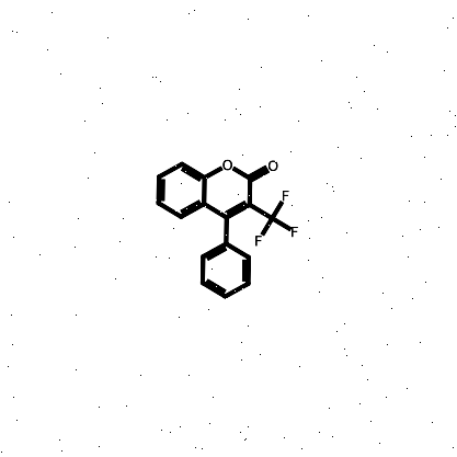 O=c1oc2ccccc2c(-c2ccccc2)c1C(F)(F)F